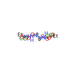 C=C(CC)C(=O)c1ccc(OCC(=O)NCCNC(=O)CCN2C=C/C(=C\c3sc4ccccc4[n+]3CCC(=O)NCCNC(=O)COc3ccc(C(=O)C(=C)CC)c(Cl)c3Cl)c3ccccc32)c(Cl)c1Cl